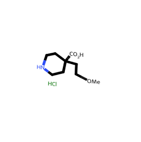 COCCC1(C(=O)O)CCNCC1.Cl